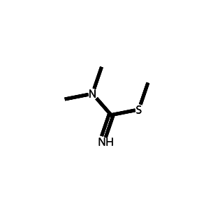 CSC(=N)N(C)C